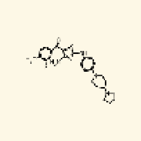 Cc1ccc(C(=O)c2sc(Nc3ccc(N4CCC(N5CCCC5)CC4)cc3)nc2N)cc1F